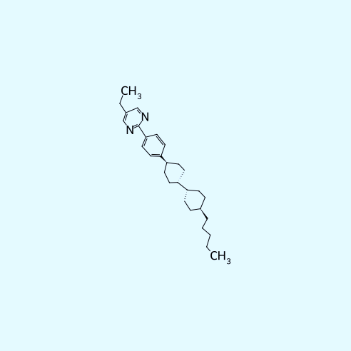 CCCCC[C@H]1CC[C@H]([C@H]2CC[C@H](c3ccc(-c4ncc(CC)cn4)cc3)CC2)CC1